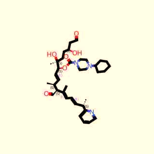 C/C(=C\C=C\[C@H](C)c1ccccn1)[C@@H](C=O)[C@@H](C)/C=C/[C@H](OC(=O)N1CCN(C2CCCCC2)CC1)[C@@](C)(O)CC[C@H](O)CC=O